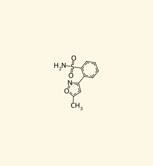 Cc1cc(-c2ccccc2S(N)(=O)=O)no1